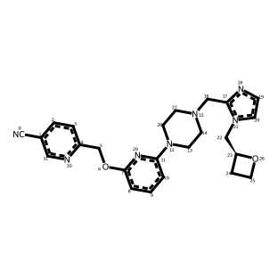 N#Cc1ccc(COc2cccc(N3CCN(Cc4nccn4C[C@@H]4CCO4)CC3)n2)nc1